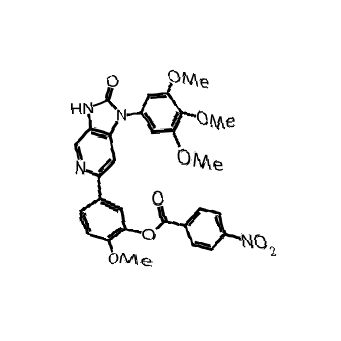 COc1ccc(-c2cc3c(cn2)[nH]c(=O)n3-c2cc(OC)c(OC)c(OC)c2)cc1OC(=O)c1ccc([N+](=O)[O-])cc1